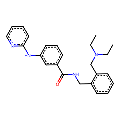 CCN(CC)Cc1ccccc1CNC(=O)c1cccc(Nc2ccccn2)c1